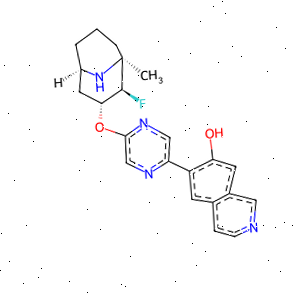 C[C@]12CCC[C@H](C[C@@H](Oc3cnc(-c4cc5ccncc5cc4O)cn3)[C@@H]1F)N2